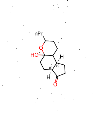 CCCC1CCC2[C@H]3CCC(=O)[C@H]3CCC2(O)O1